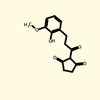 COc1cccc(CCC(=O)C2C(=O)CCC2=O)c1O